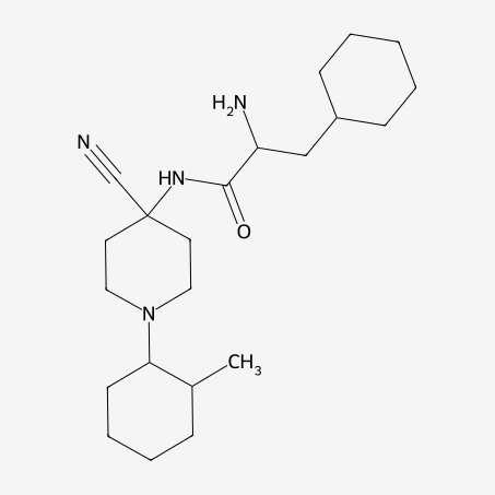 CC1CCCCC1N1CCC(C#N)(NC(=O)C(N)CC2CCCCC2)CC1